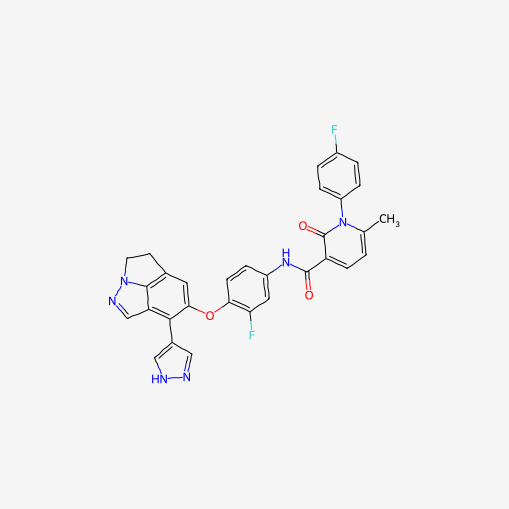 Cc1ccc(C(=O)Nc2ccc(Oc3cc4c5c(cnn5CC4)c3-c3cn[nH]c3)c(F)c2)c(=O)n1-c1ccc(F)cc1